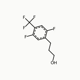 OCCCc1cc(F)c(C(F)(F)F)cc1F